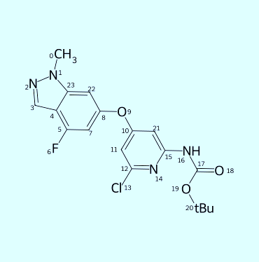 Cn1ncc2c(F)cc(Oc3cc(Cl)nc(NC(=O)OC(C)(C)C)c3)cc21